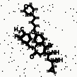 Cc1ccc(CN2C(=O)CC(C(=N)CC(=N)C3CC3)=C(Br)c3ccc(OCCCN4CCOCC4)cc32)cc1F